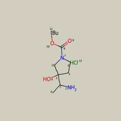 CC(N)C1(O)CCN(C(=O)OC(C)(C)C)C1.Cl